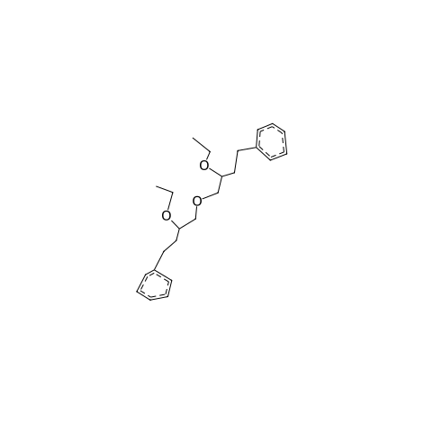 CCOC(CCc1ccccc1)COCC(CCc1ccccc1)OCC